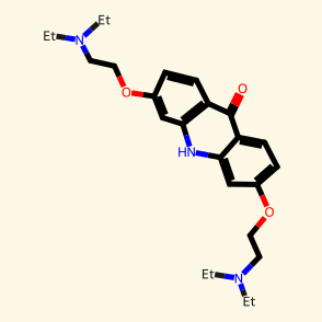 CCN(CC)CCOc1ccc2c(=O)c3ccc(OCCN(CC)CC)cc3[nH]c2c1